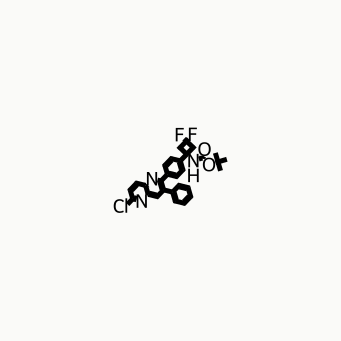 CC(C)(C)OC(=O)NC1(c2ccc(-c3nc4ccc(Cl)nc4cc3-c3ccccc3)cc2)CC(F)(F)C1